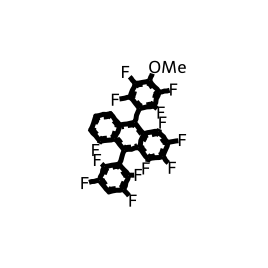 COc1c(F)c(F)c(-c2c3cccc(F)c3c(-c3c(F)c(F)cc(F)c3F)c3c(F)c(F)c(F)c(F)c23)c(F)c1F